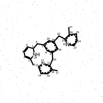 CC1=CC=CC(Cc2cc(Cc3ncccc3C)cc(Cc3ncccc3C)c2)N1